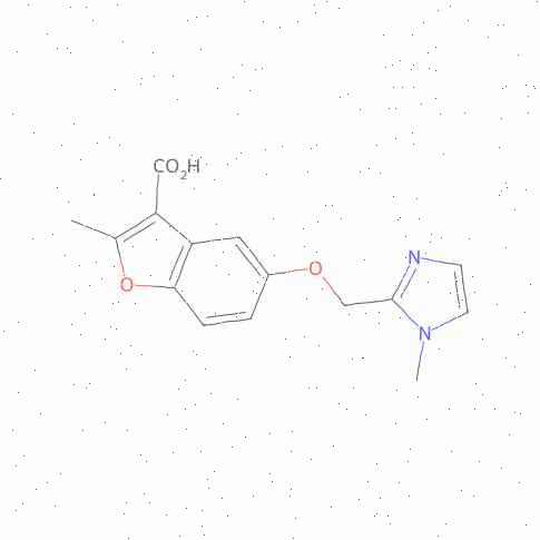 Cc1oc2ccc(OCc3nccn3C)cc2c1C(=O)O